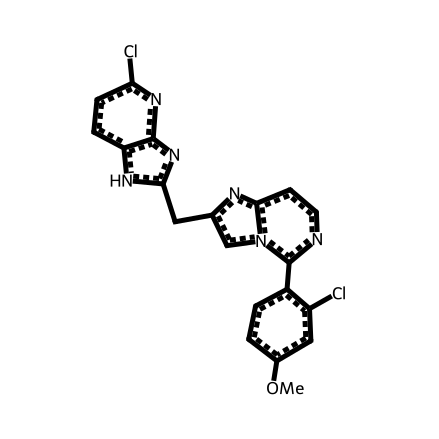 COc1ccc(-c2nccc3nc(Cc4nc5nc(Cl)ccc5[nH]4)cn23)c(Cl)c1